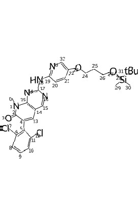 Cn1c(=O)c(-c2c(Cl)cccc2Cl)cc2cnc(Nc3ccc(OCCCO[Si](C)(C)C(C)(C)C)cn3)nc21